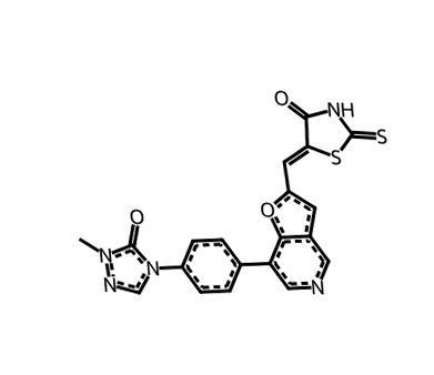 Cn1ncn(-c2ccc(-c3cncc4cc(/C=C5\SC(=S)NC5=O)oc34)cc2)c1=O